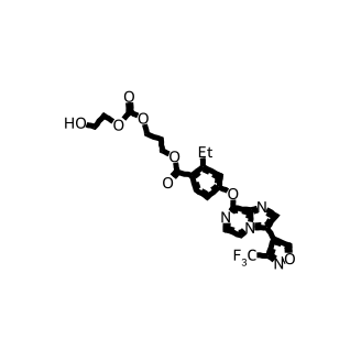 CCc1cc(Oc2nccn3c(-c4conc4C(F)(F)F)cnc23)ccc1C(=O)OCCCOC(=O)OCCO